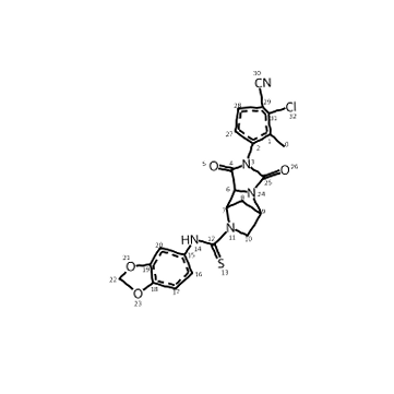 Cc1c(N2C(=O)C3C4CC(CN4C(=S)Nc4ccc5c(c4)OCO5)N3C2=O)ccc(C#N)c1Cl